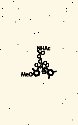 COc1cccc(C(=O)N(C(=O)OCOC(=O)CNC(C)=O)N(C(=O)c2cc(C)cc(C)c2)C(C)(C)C)c1C